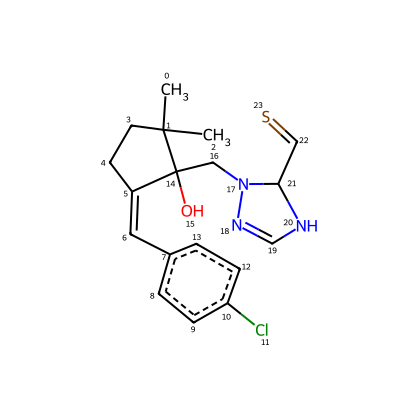 CC1(C)CCC(=Cc2ccc(Cl)cc2)C1(O)CN1N=CNC1C=S